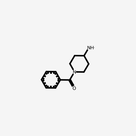 [NH]C1CCN(C(=O)c2ccccc2)CC1